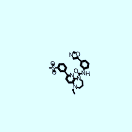 CCN1CCCN(C(=O)Nc2cccc(-c3cnco3)c2)c2nc(-c3cccc(S(C)(=O)=O)c3)ccc21